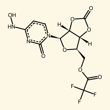 O=C1O[C@@H]2[C@H](O1)[C@@H](COC(=O)C(F)(F)F)O[C@H]2n1ccc(NO)nc1=O